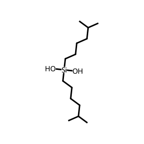 CC(C)CCCC[Si](O)(O)CCCCC(C)C